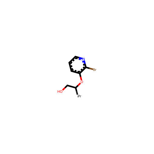 CC(C)C(CO)Oc1cccnc1Br